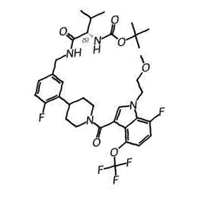 COCCn1cc(C(=O)N2CCC(c3cc(CNC(=O)[C@@H](NC(=O)OC(C)(C)C)C(C)C)ccc3F)CC2)c2c(OC(F)(F)F)ccc(F)c21